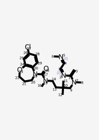 C=C(/N=C\C=N/C)N(C)CC(C)(C)CCN(C)C(=O)N1CCCOc2cc(Cl)ccc21